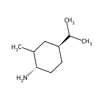 CC(C)[C@H]1CC[C@H](N)C(C)C1